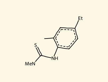 CCc1ccc(NC(=S)NC)c(C)c1